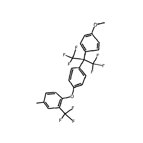 COc1ccc(C(c2ccc(Oc3ccc(C)cc3C(F)(F)F)cc2)(C(F)(F)F)C(F)(F)F)cc1